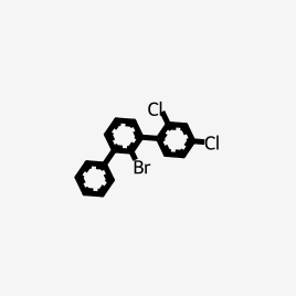 Clc1ccc(-c2cccc(-c3ccccc3)c2Br)c(Cl)c1